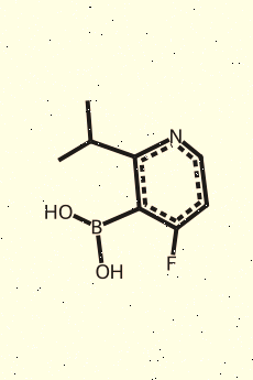 CC(C)c1nccc(F)c1B(O)O